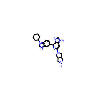 c1nc2c(-c3ccc4c(c3)ncn4C3CCCCC3)nc(N3CC4CNCC4C3)cc2[nH]1